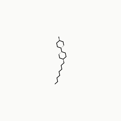 CCCCCCCC[C@H]1CC[C@H]([C@H]2CC[C@H](C)CC2)CC1